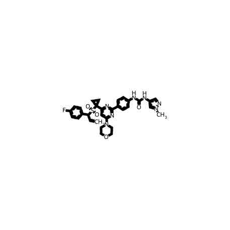 C=CC(c1ccc(F)cc1)S(=O)(=O)C1(c2cc(N3CCOCC3)nc(-c3ccc(NC(=O)Nc4cnn(C)c4)cc3)n2)CC1